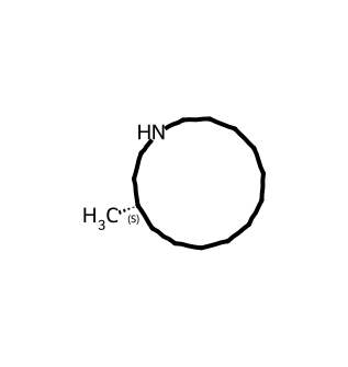 C[C@H]1CCCCCCCCCCCNCC1